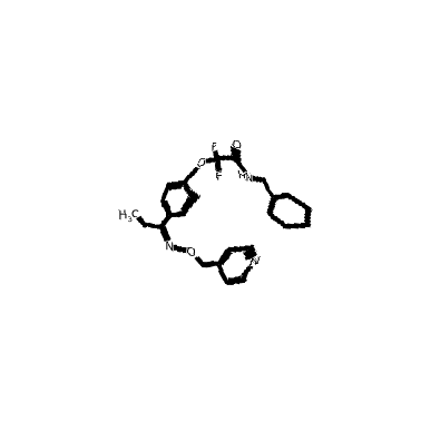 CCC(=NOCc1ccncc1)c1ccc(OC(F)(F)C(=O)NCC2CCCCC2)cc1